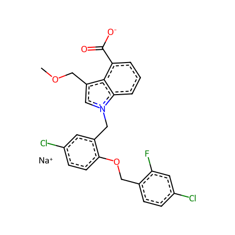 COCc1cn(Cc2cc(Cl)ccc2OCc2ccc(Cl)cc2F)c2cccc(C(=O)[O-])c12.[Na+]